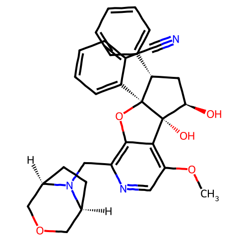 COc1cnc(CN2[C@@H]3CC[C@H]2COC3)c2c1[C@]1(O)[C@H](O)C[C@@H](c3ccccc3)[C@]1(c1ccccc1C#N)O2